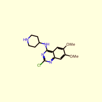 COc1cc2nc(Cl)nc(NC3CCNCC3)c2cc1OC